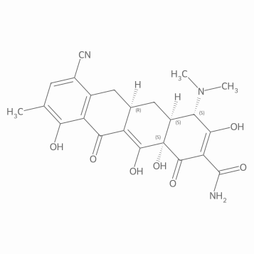 Cc1cc(C#N)c2c(c1O)C(=O)C1=C(O)[C@]3(O)C(=O)C(C(N)=O)=C(O)[C@@H](N(C)C)[C@@H]3C[C@@H]1C2